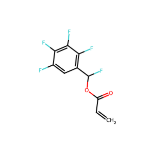 C=CC(=O)OC(F)c1cc(F)c(F)c(F)c1F